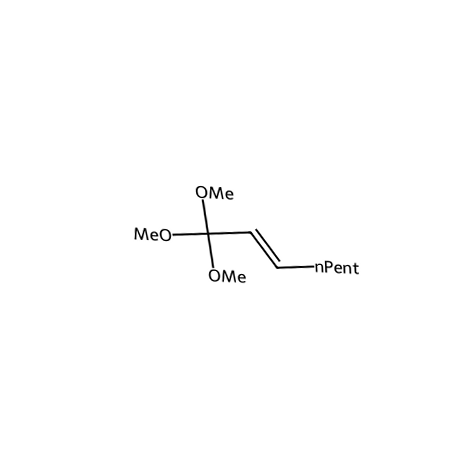 CCCCC/C=C/C(OC)(OC)OC